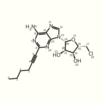 CCCCC#Cc1nc(N)c2ncn([C@@H]3O[C@H](CCl)[C@@H](O)[C@H]3O)c2n1